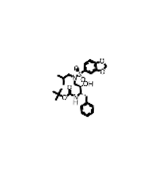 CC(C)CN(C[C@@H](O)[C@H](Cc1ccccc1)NC(=O)OC(C)(C)C)S(=O)(=O)c1ccc2c(c1)OCO2